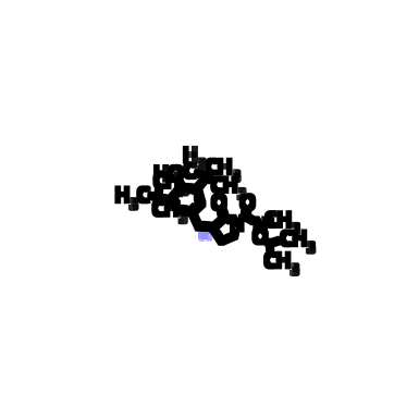 CC(C)ON(C)C(=O)N1CC/C(=C/c2cc(C(C)(C)C)c(O)c(C(C)(C)C)c2)C1=O